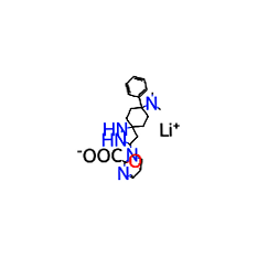 CN(C)C1(c2ccccc2)CCC2(CC1)CC(N1C=C3C=NC1(C(=O)[O-])O3)NN2.[Li+]